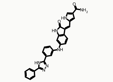 NC(=O)c1c[nH]c(/C=C2\C(=O)Nc3cc(Nc4cccc(-c5nnc(-c6ccccc6)[nH]5)c4)ccc32)c1